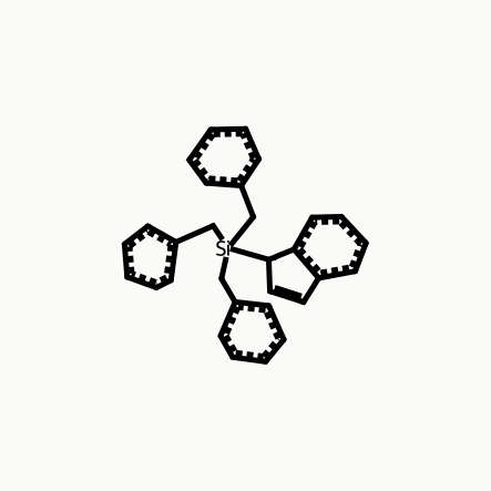 C1=Cc2ccccc2[C]1[Si](Cc1ccccc1)(Cc1ccccc1)Cc1ccccc1